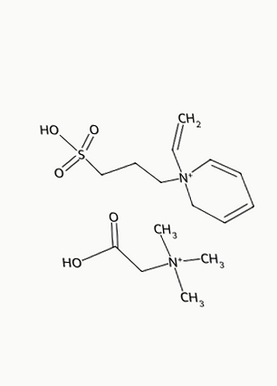 C=C[N+]1(CCCS(=O)(=O)O)C=CC=CC1.C[N+](C)(C)CC(=O)O